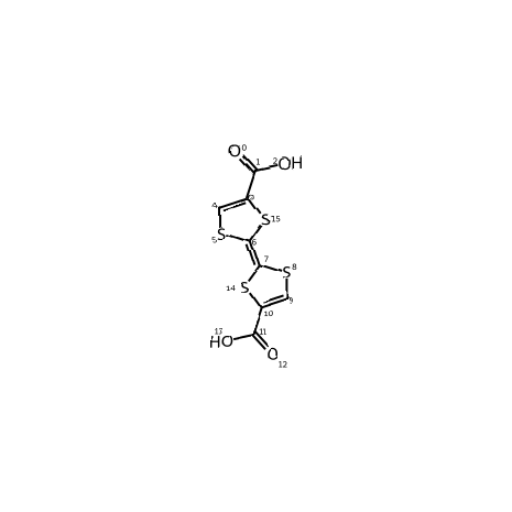 O=C(O)C1=CSC(=C2SC=C(C(=O)O)S2)S1